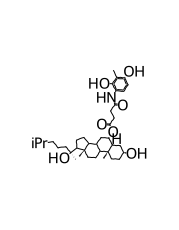 Cc1c(O)ccc(NC(=O)CCC(=O)O[C@H]2CC3C4CCC([C@@](C)(O)CCCC(C)C)[C@@]4(C)CCC3[C@@]3(C)CC[C@H](O)C[C@H]23)c1O